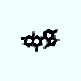 Cc1ccc(N2C[C@@H]3CNCCN3[C@H](C)C2)c2c(F)cnn12